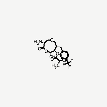 CC(C)C(=O)O[C@@H]1[C@@H](Cc2ccc(C(F)(F)F)cc2)COC[C@H](N)C(=O)O[C@H]1C